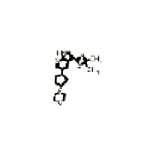 Cc1nc(-c2c[nH]c3ncc(C4CCC(N5CCOCC5)CC4)cc23)sc1C